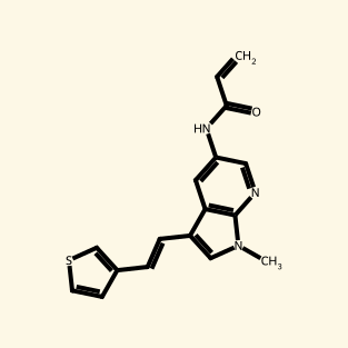 C=CC(=O)Nc1cnc2c(c1)c(C=Cc1ccsc1)cn2C